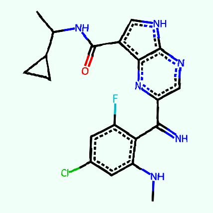 CNc1cc(Cl)cc(F)c1C(=N)c1cnc2[nH]cc(C(=O)NC(C)C3CC3)c2n1